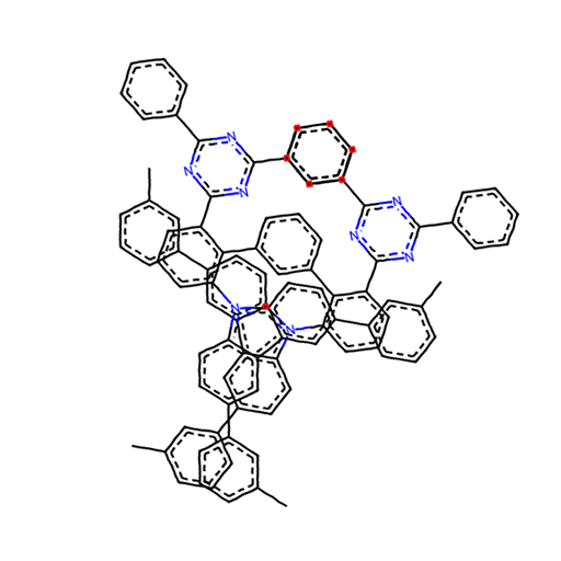 Cc1cccc(-c2ccc3c(c2)c2cc(-c4cccc(C)c4)ccc2n3-c2cccc(-c3nc(-c4ccccc4)nc(-c4ccccc4)n3)c2-c2cccc(-c3c(-c4nc(-c5ccccc5)nc(-c5ccccc5)n4)cccc3-n3c4ccc(-c5cccc(C)c5)cc4c4cc(-c5cccc(C)c5)ccc43)c2)c1